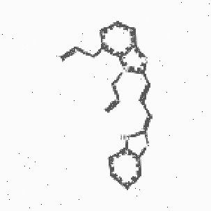 C=CCc1cccc2sc(C=CC=C3Nc4ccccc4S3)[n+](CC=C)c12